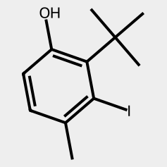 Cc1ccc(O)c(C(C)(C)C)c1I